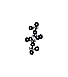 c1ccc(-n2c(-c3ccc(/C4=N/c5cc6ccccc6nc5/C(c5ccc(-c6nc7ccccc7n6-c6ccccc6)cc5)=N\c5cc6ccccc6nc54)cc3)nc3ccccc32)cc1